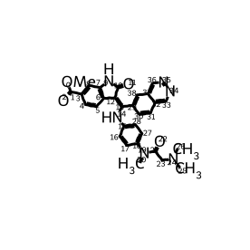 COC(=O)c1ccc2c(c1)NC(=O)C2=C(Nc1ccc(N(C)C(=O)CN(C)C)cc1)c1ccc2cnncc2c1